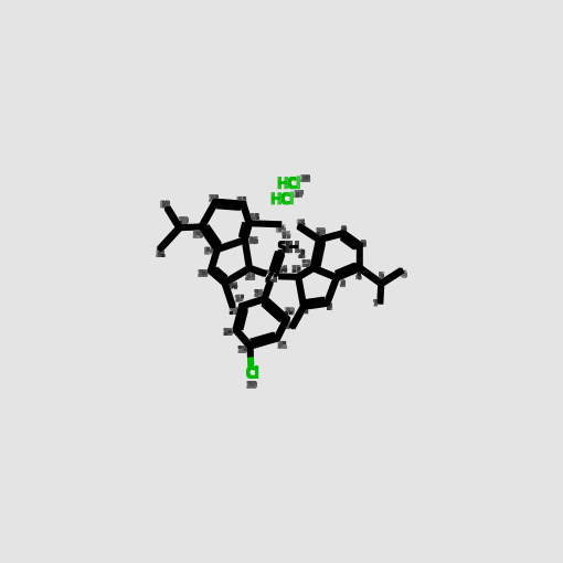 CC1=Cc2c(C(C)C)ccc(C)c2[CH]1[Zr](=[SiH2])([c]1ccc(Cl)cc1)[CH]1C(C)=Cc2c(C(C)C)ccc(C)c21.Cl.Cl